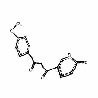 O=C(CC(=O)c1ccc(=O)[nH]c1)c1ccc(OC(F)(F)F)cc1